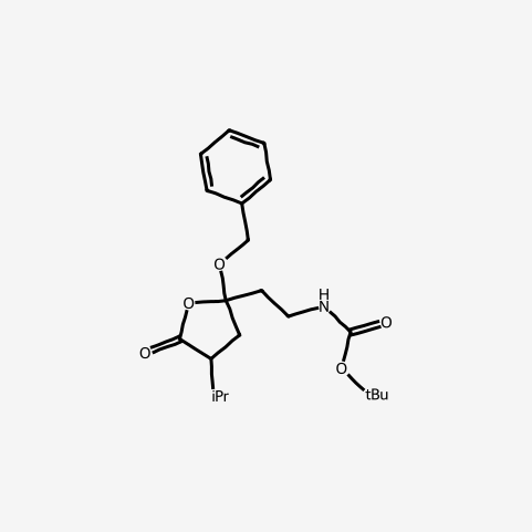 CC(C)C1CC(CCNC(=O)OC(C)(C)C)(OCc2ccccc2)OC1=O